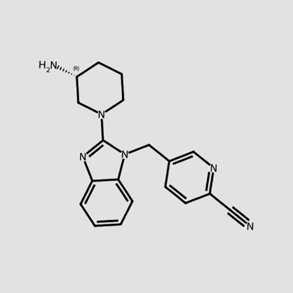 N#Cc1ccc(Cn2c(N3CCC[C@@H](N)C3)nc3ccccc32)cn1